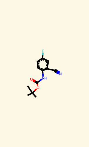 CC(C)(C)OC(=O)Nc1ccc(F)cc1C#N